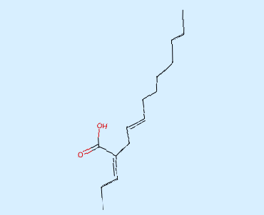 CCC=C(CC=CCCCCCCC)C(=O)O